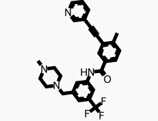 Cc1ccc(C(=O)Nc2cc(CN3CCN(C)CC3)cc(C(F)(F)F)c2)cc1C#Cc1cccnc1